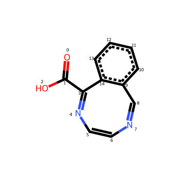 O=C(O)/C1=N/C=C\N=C/c2ccccc21